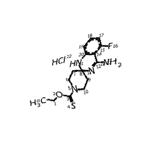 CCOC(=S)N1CCC2(CC1)N=C(N)c1c(F)cccc1N2.Cl